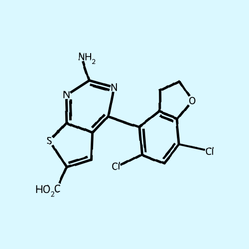 Nc1nc(-c2c(Cl)cc(Cl)c3c2CCO3)c2cc(C(=O)O)sc2n1